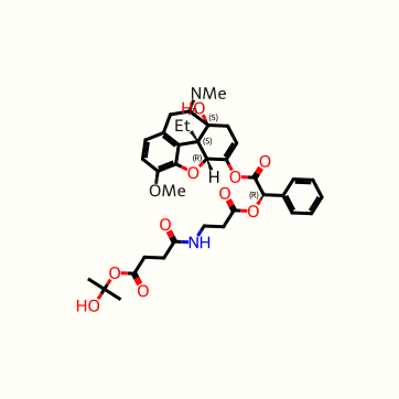 CC[C@]12c3c4ccc(OC)c3O[C@H]1C(OC(=O)[C@H](OC(=O)CCNC(=O)CCC(=O)OC(C)(C)O)c1ccccc1)=CC[C@@]2(O)[C@H](NC)C4